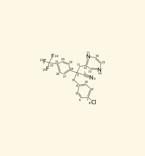 N#CC(Cc1ccc(Cl)cc1)(Cc1cnccn1)c1ccc(C(F)(F)F)cc1